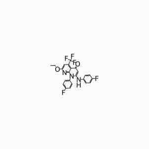 CCOc1cc(C(F)(F)F)c2c(=O)cc(Nc3ccc(F)cc3)n(-c3ccc(F)cc3)c2n1